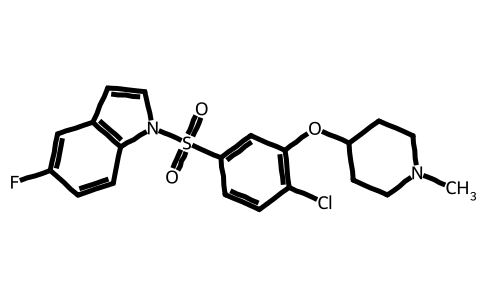 CN1CCC(Oc2cc(S(=O)(=O)n3ccc4cc(F)ccc43)ccc2Cl)CC1